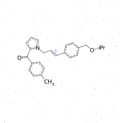 Cc1ccc(C(=O)c2cccn2C/C=C/c2ccc(COC(C)C)cc2)cc1